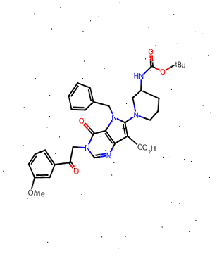 COc1cccc(C(=O)Cn2cnc3c(C(=O)O)c(N4CCCC(NC(=O)OC(C)(C)C)C4)n(Cc4ccccc4)c3c2=O)c1